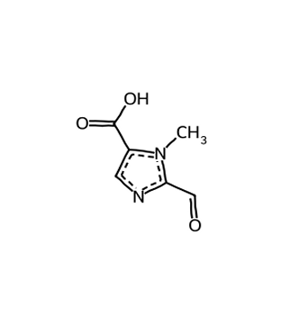 Cn1c(C(=O)O)cnc1C=O